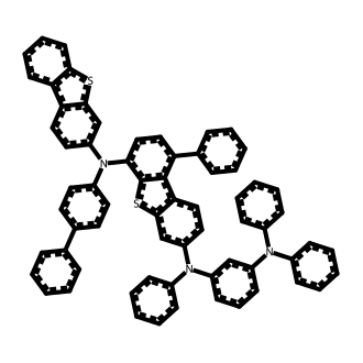 c1ccc(-c2ccc(N(c3ccc4c(c3)sc3ccccc34)c3ccc(-c4ccccc4)c4c3sc3cc(N(c5ccccc5)c5cccc(N(c6ccccc6)c6ccccc6)c5)ccc34)cc2)cc1